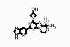 CC1(C)OCCn2c1nc1c(N3CC(O)C3)nc(-c3cnc4[nH]cnc4c3)nc12